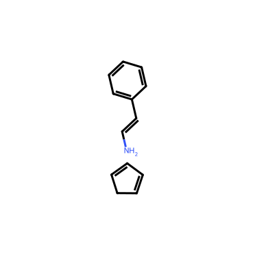 C1=CCC=C1.NC=Cc1ccccc1